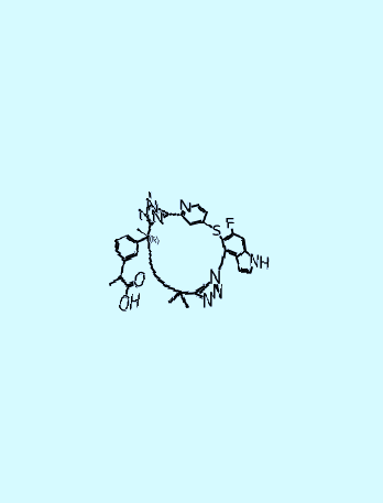 CC(C(=O)O)c1cccc([C@@]2(C)CCCCC(C)(C)c3cn(nn3)Cc3c(c(F)cc4[nH]ccc34)Sc3ccnc(c3)-c3nc2nn3C)c1